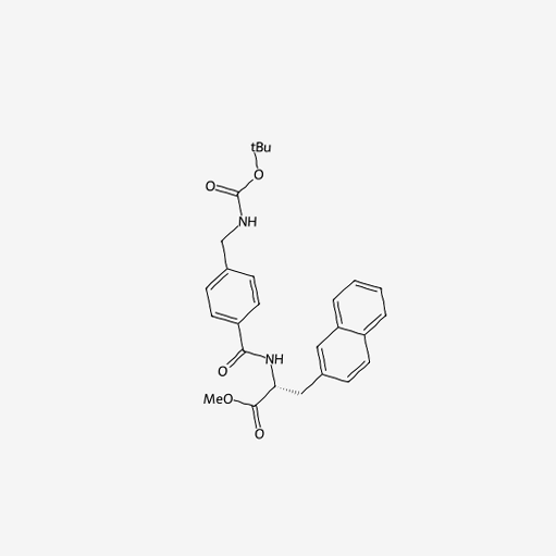 COC(=O)[C@@H](Cc1ccc2ccccc2c1)NC(=O)c1ccc(CNC(=O)OC(C)(C)C)cc1